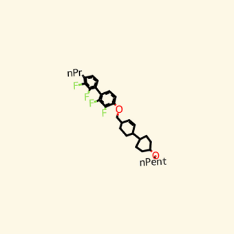 CCCCCOC1CCC(C2C=CC(COc3ccc(-c4ccc(CCC)c(F)c4F)c(F)c3F)CC2)CC1